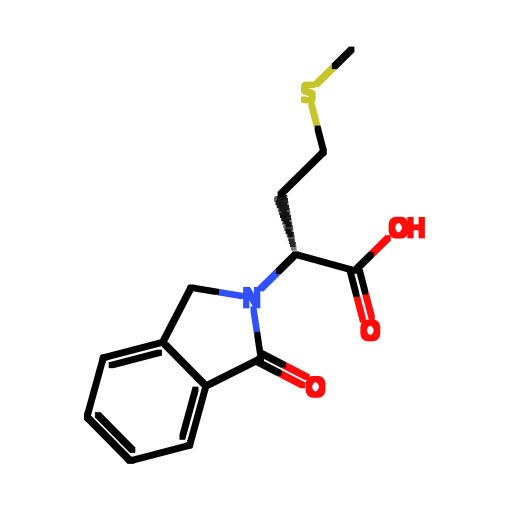 CSCC[C@H](C(=O)O)N1Cc2ccccc2C1=O